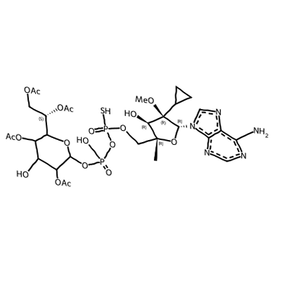 CO[C@@]1(C2CC2)[C@H](n2cnc3c(N)ncnc32)O[C@](C)(COP(=O)(S)OP(=O)(O)OC2OC([C@H](COC(C)=O)OC(C)=O)C(OC(C)=O)C(O)C2OC(C)=O)[C@H]1O